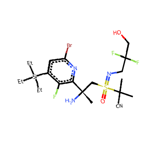 CC[Si](CC)(CC)c1cc(Br)nc([C@@](C)(N)C[S@@](=O)(=NCC(F)(F)CO)C(C)(C)C#N)c1F